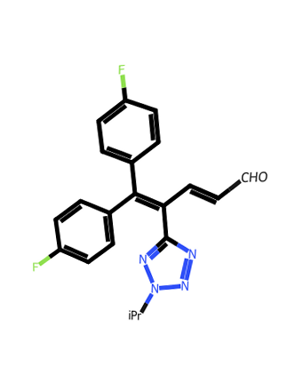 CC(C)n1nnc(C(C=CC=O)=C(c2ccc(F)cc2)c2ccc(F)cc2)n1